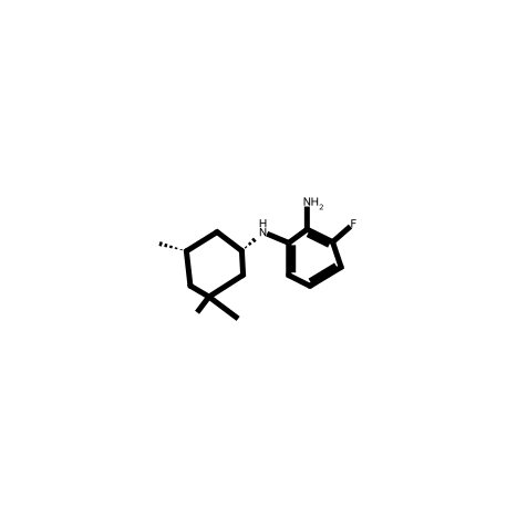 C[C@@H]1C[C@H](Nc2cccc(F)c2N)CC(C)(C)C1